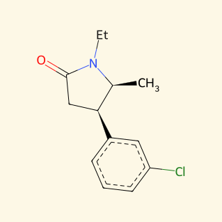 CCN1C(=O)C[C@H](c2cccc(Cl)c2)[C@@H]1C